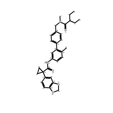 CCC(CC)C(=O)N(C)Cc1ccc(-c2cc(NC(=O)C3(c4ccc5c(c4)OCO5)CC3)ccc2C)cc1